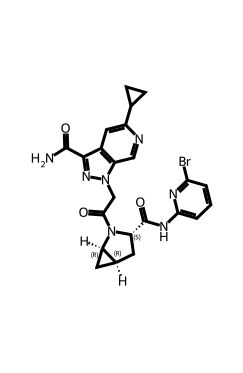 NC(=O)c1nn(CC(=O)N2[C@@H]3C[C@@H]3C[C@H]2C(=O)Nc2cccc(Br)n2)c2cnc(C3CC3)cc12